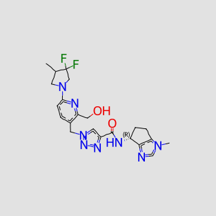 CC1CN(c2ccc(Cn3cc(C(=O)N[C@@H]4CCc5c4ncn5C)nn3)c(CO)n2)CC1(F)F